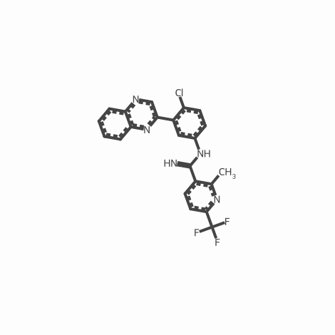 Cc1nc(C(F)(F)F)ccc1C(=N)Nc1ccc(Cl)c(-c2cnc3ccccc3n2)c1